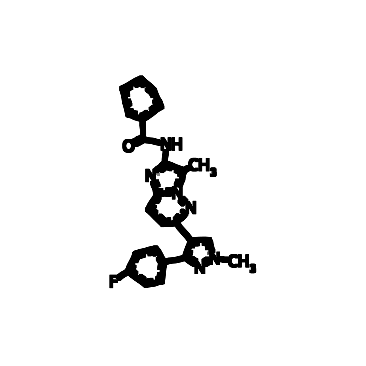 Cc1c(NC(=O)c2ccccc2)nc2ccc(-c3cn(C)nc3-c3ccc(F)cc3)nn12